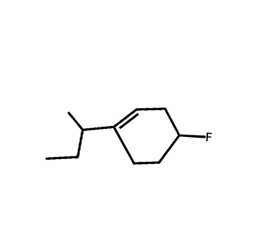 CCC(C)C1=CCC(F)CC1